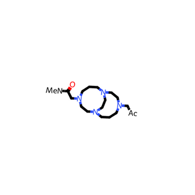 CNC(=O)CN1CCCN2CCN(CCCN(CC(C)=O)CC2)CC1